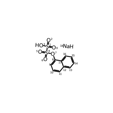 O=S(=O)(O)S(=O)(=O)Oc1cccc2ccccc12.[NaH]